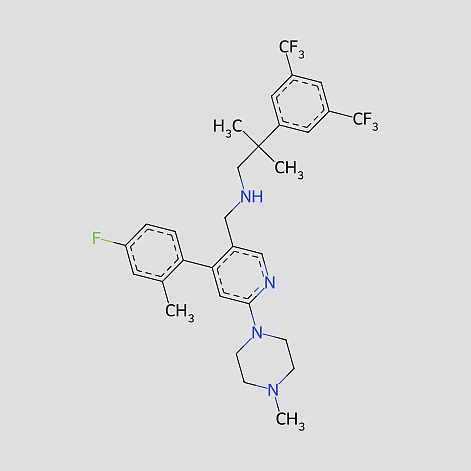 Cc1cc(F)ccc1-c1cc(N2CCN(C)CC2)ncc1CNCC(C)(C)c1cc(C(F)(F)F)cc(C(F)(F)F)c1